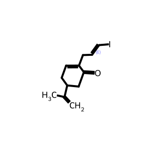 C=C(C)C1CC=C(C/C=C/I)C(=O)C1